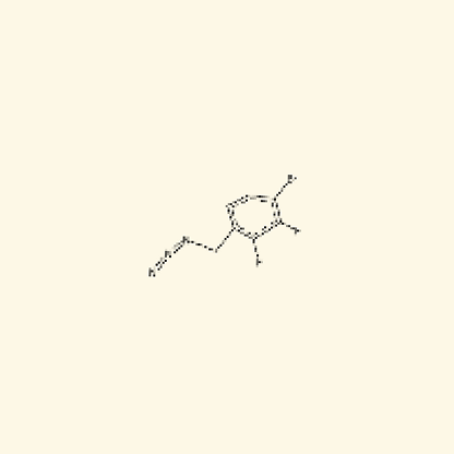 [N-]=[N+]=NCc1ccc(Br)c(F)c1F